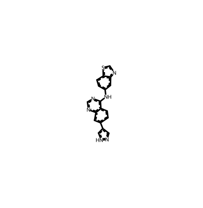 c1nc(Nc2ccc3scnc3c2)c2ccc(-c3cn[nH]c3)cc2n1